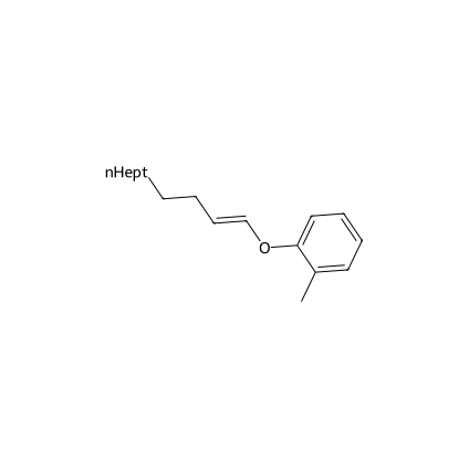 CCCCCCCCCC=COc1ccccc1C